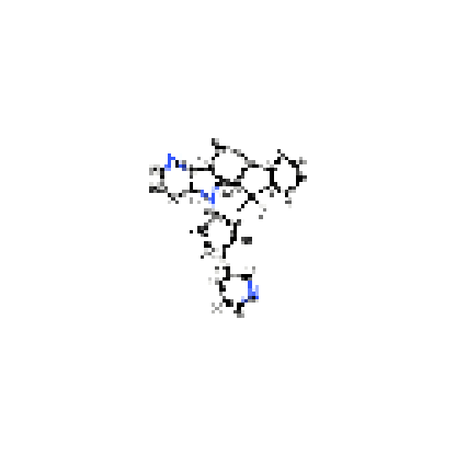 CC1(C)c2ccccc2-c2ccc3c4ncccc4n(-c4ccc(-c5cccnc5)cc4)c3c21